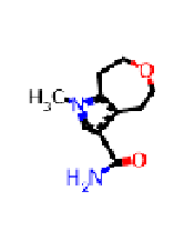 Cn1cc(C(N)=O)c2c1CCOCC2